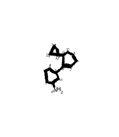 Nc1cccc(C2=CC=CCC2C2CC2)c1